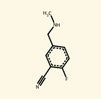 CNCc1ccc(F)c(C#N)c1